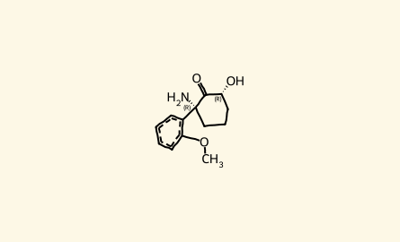 COc1ccccc1[C@]1(N)CCC[C@@H](O)C1=O